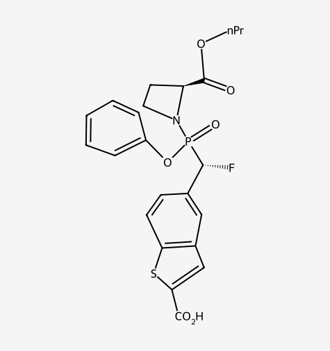 CCCOC(=O)[C@@H]1CCN1P(=O)(Oc1ccccc1)[C@H](F)c1ccc2sc(C(=O)O)cc2c1